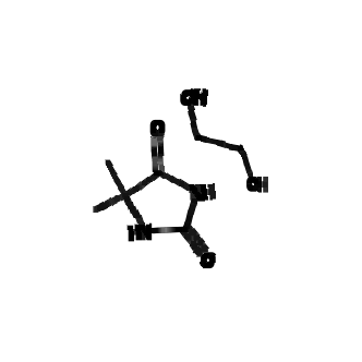 CC1(C)NC(=O)NC1=O.OCCO